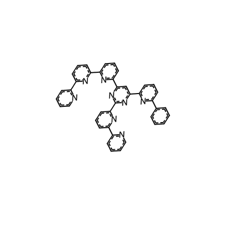 c1ccc(-c2cccc(-c3cc(-c4cccc(-c5cccc(-c6ccccn6)n5)n4)nc(-c4cccc(-c5ccccn5)n4)n3)n2)cc1